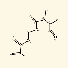 C=C(C)C(=O)OCOC(=O)C(C)C(C)C=O